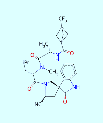 CC(C)C[C@@H](C(=O)N1C[C@]2(C[C@H]1C#N)C(=O)Nc1ccccc12)N(C)C(=O)[C@H](C)NC(=O)C12CC(C(F)(F)F)(C1)C2